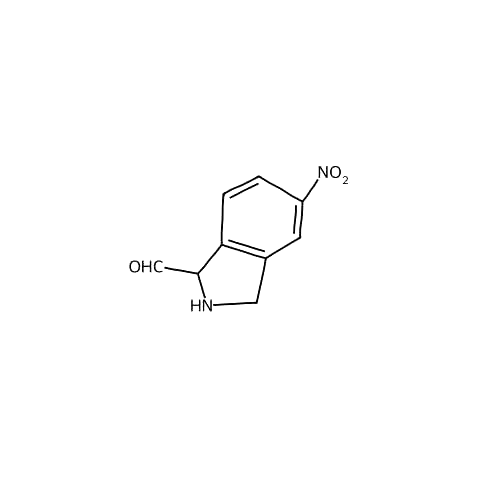 O=CC1NCc2cc([N+](=O)[O-])ccc21